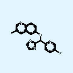 Cc1cnc2ccc(OC(c3ccc(Br)cn3)c3ncco3)cc2c1